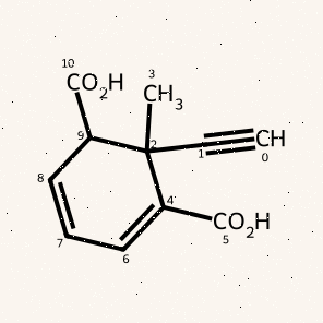 C#CC1(C)C(C(=O)O)=CC=CC1C(=O)O